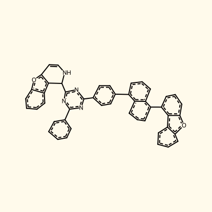 C1=Cc2oc3ccccc3c2C(c2nc(-c3ccccc3)nc(-c3ccc(-c4cccc5c(-c6cccc7oc8ccccc8c67)cccc45)cc3)n2)N1